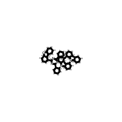 c1ccc(-c2nc(-c3ccccc3-n3c4cccc5c6cccc7c8ccccc8n(c8cccc3c8c54)c67)nc(-c3cccc4oc5ccccc5c34)n2)cc1